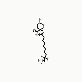 NC(F)(F)CCCCCCCC1=NC2(CCNCC2)C(=O)N1